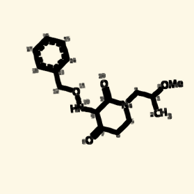 COC(C)CN1CCC(=O)C(NOCc2ccccc2)C1=O